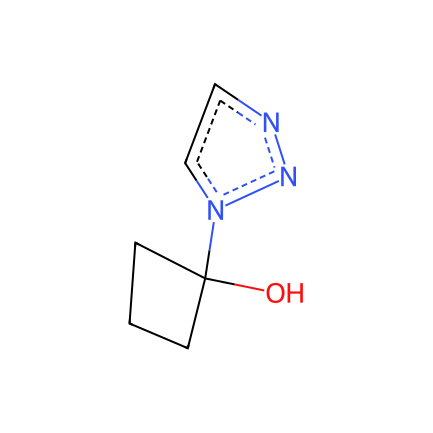 OC1(n2ccnn2)CCC1